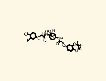 O=C(COc1ccc2c(c1)OC(F)(F)C(F)(F)O2)NC12CCC(NC(=O)COc3ccc(Cl)c(F)c3)(CC1)[C@@H](O)C2